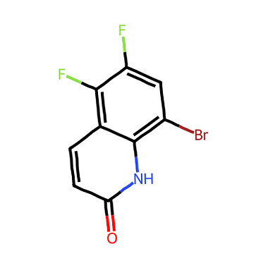 O=c1ccc2c(F)c(F)cc(Br)c2[nH]1